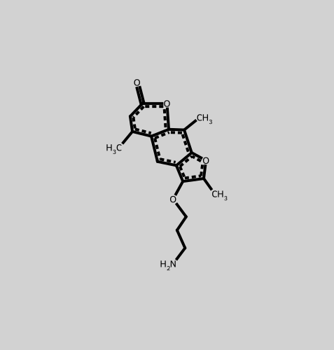 Cc1oc2c(C)c3oc(=O)cc(C)c3cc2c1OCCCN